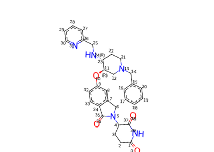 O=C1CCC(N2Cc3cc(O[C@@H]4CN(Cc5ccccc5)CC[C@H]4NCc4ccccn4)ccc3C2=O)C(=O)N1